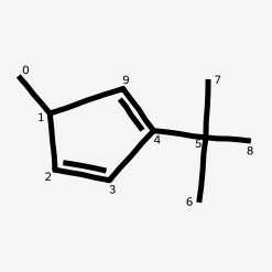 CC1C=CC(C(C)(C)C)=C1